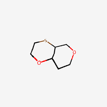 C1CC2OCCSC2CO1